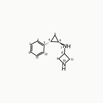 c1ccc([C@@H]2C[C@H]2NC2CNC2)cc1